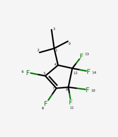 CC(C)(C)C1C(F)=C(F)C(F)(F)C1(F)F